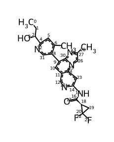 CC[C@H](O)c1cc(C)c(-c2cc3cnc(NC(=O)[C@H]4CC4(F)F)cc3n3cc(C)nc23)cn1